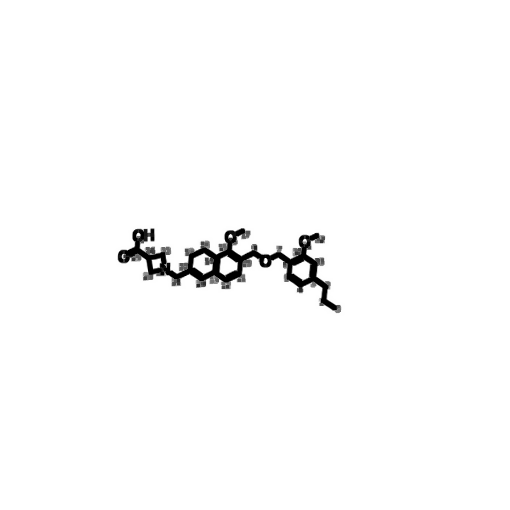 CCCc1ccc(COCc2ccc3c(c2OC)CCC(CN2CC(C(=O)O)C2)=C3)c(OC)c1